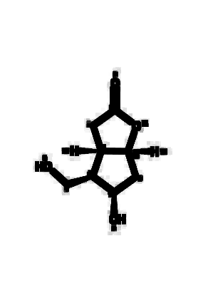 O=C1C[C@@H]2[C@H](CO)[C@H](O)C[C@@H]2O1